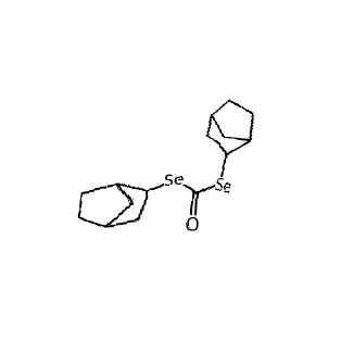 O=C([Se]C1CC2CCC1C2)[Se]C1CC2CCC1C2